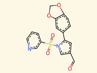 O=Cc1cc(-c2ccc3c(c2)OCO3)n(S(=O)(=O)c2cccnc2)c1